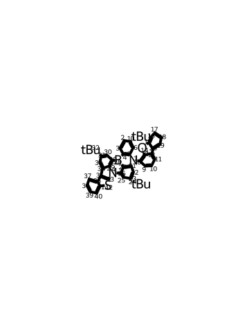 CC(C)(C)c1ccc2c(c1)N(c1cccc3c1oc1ccccc13)c1cc(C(C)(C)C)cc3c1B2c1cc(C(C)(C)C)cc2c4c5ccccc5sc4n-3c12